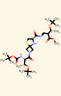 COC(=O)C(C=NC(=O)[C@@H]1CSC2(CN(C(=O)[C@@H](NC(=O)OC(C)(C)C)[C@@H](C)OC(C)(C)C)C2)N1)[C@@H](C)OC(C)(C)C